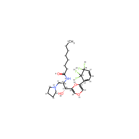 CCCCCCCC(=O)N[C@H](CN1CCCC1)[C@@H](O)C1=COC=C(C2=CC=CC(F)(F)C2(F)F)O1